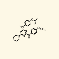 COc1ccc(Nc2nc(Nc3ccc(OC(F)F)cc3)cc(N3CCCCC3)n2)cc1